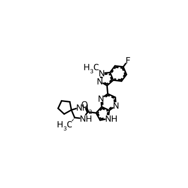 C[C@@H](NC(=O)c1c[nH]c2ncc(-c3nn(C)c4cc(F)ccc34)nc12)C1(N)CCCC1